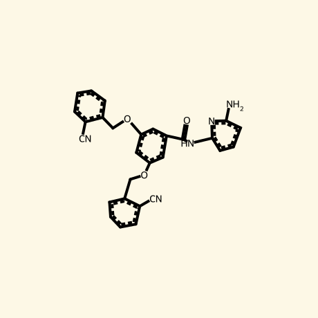 N#Cc1ccccc1COc1cc(OCc2ccccc2C#N)cc(C(=O)Nc2cccc(N)n2)c1